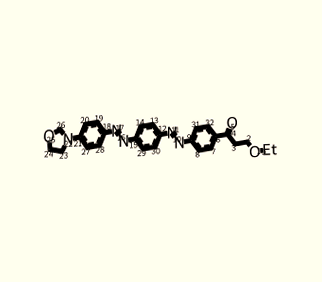 CCOCCC(=O)c1ccc(N=Nc2ccc(N=Nc3ccc(N4CCOC4)cc3)cc2)cc1